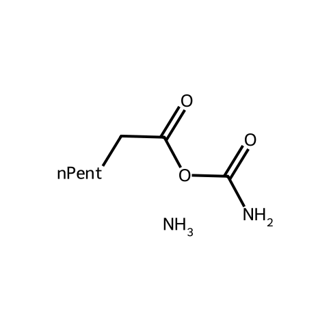 CCCCCCC(=O)OC(N)=O.N